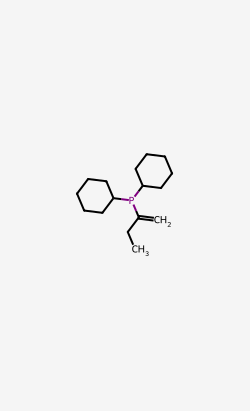 C=C(CC)P(C1CCCCC1)C1CCCCC1